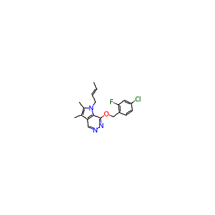 CC=CCn1c(C)c(C)c2cnnc(OCc3ccc(Cl)cc3F)c21